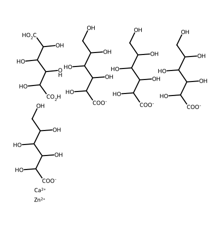 O=C(O)C(O)C(O)C(O)C(O)C(=O)O.O=C([O-])C(O)C(O)C(O)C(O)CO.O=C([O-])C(O)C(O)C(O)C(O)CO.O=C([O-])C(O)C(O)C(O)C(O)CO.O=C([O-])C(O)C(O)C(O)C(O)CO.[Ca+2].[Zn+2]